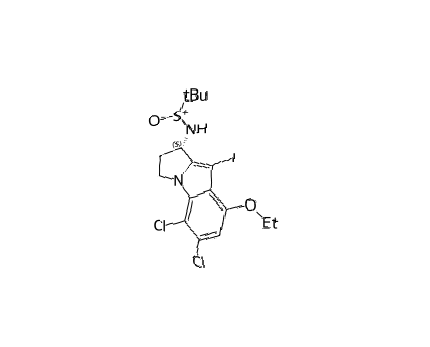 CCOc1cc(Cl)c(Cl)c2c1c(I)c1n2CC[C@@H]1N[S+]([O-])C(C)(C)C